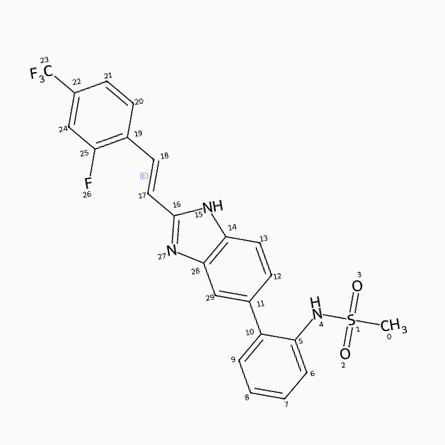 CS(=O)(=O)Nc1ccccc1-c1ccc2[nH]c(/C=C/c3ccc(C(F)(F)F)cc3F)nc2c1